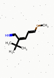 CS/C=C/C=C(\C=N)C(C)(C)C